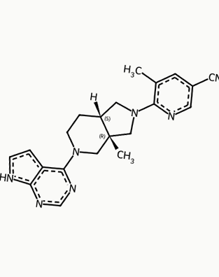 Cc1cc(C#N)cnc1N1C[C@H]2CCN(c3ncnc4[nH]ccc34)C[C@@]2(C)C1